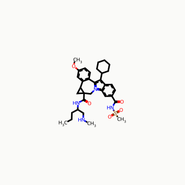 CCCC(CNC)NC(=O)C12CC1c1cc(OC)ccc1-c1c(C3CCCCC3)c3ccc(C(=O)NS(C)(=O)=O)cc3n1C2